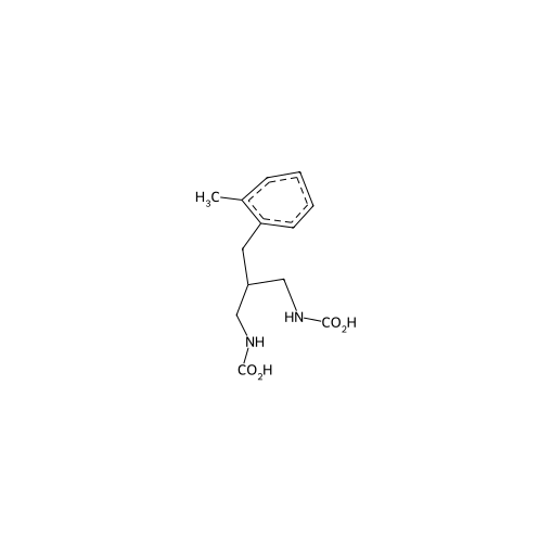 Cc1ccccc1CC(CNC(=O)O)CNC(=O)O